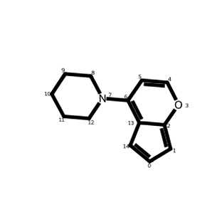 [c]1cc2occc(N3CCCCC3)c-2c1